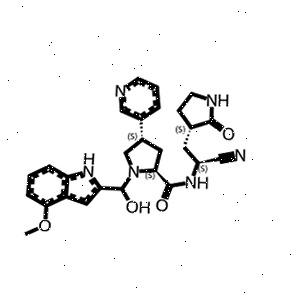 COc1cccc2[nH]c(C(O)N3C[C@H](c4cccnc4)C[C@H]3C(=O)N[C@H](C#N)C[C@@H]3CCNC3=O)cc12